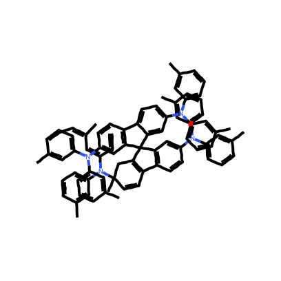 C=C/C(=C\C(C)=C/C)N(c1cccc(C)c1)C1(C)C=CC2=C(C1)C1(c3cc(N(c4cccc(C)c4)c4cccc(C)c4)ccc32)c2cc(N(c3cccc(C)c3)c3cccc(C)c3)ccc2-c2ccc(N(c3cccc(C)c3)c3cccc(C)c3)cc21